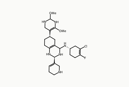 COC1=C([C@@H]2CCC3=C(C2)C(N[C@H]2CCC(F)=C(Cl)C2)N[C@@H](C2=CCCNC2)N3)CNC(OC)N1